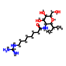 CC(C)C1OC(CO)C(O)C(O)C1NC(=O)CCCCCCCNC(=N)N